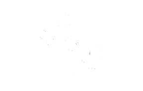 CCCSc1nc2cccc(C(=O)OCC)c2n1Cc1ccc(-c2ccccc2-c2nnn[nH]2)cc1